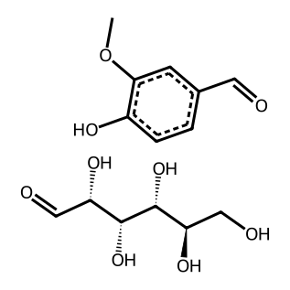 COc1cc(C=O)ccc1O.O=C[C@H](O)[C@@H](O)[C@H](O)[C@H](O)CO